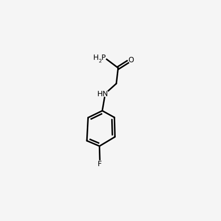 O=C(P)CNc1ccc(F)cc1